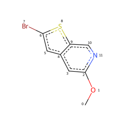 COc1cc2cc(Br)sc2cn1